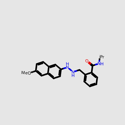 COc1ccc2cc(NNCc3ccccc3C(=O)NC(C)C)ccc2c1